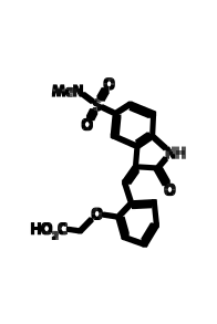 CNS(=O)(=O)c1ccc2c(c1)C(=Cc1ccccc1OCC(=O)O)C(=O)N2